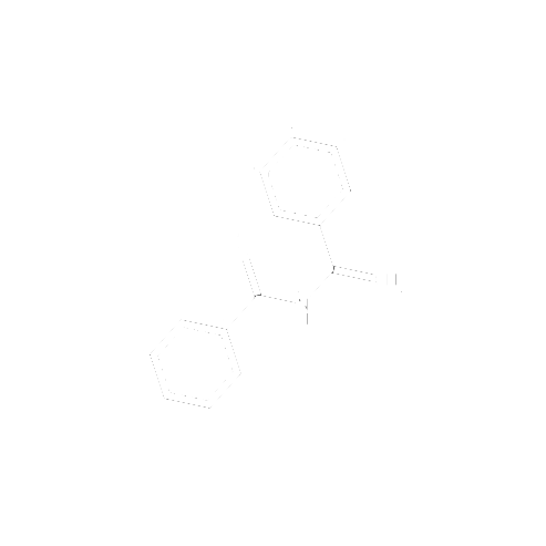 C=C(NC(=O)c1ccccc1)c1ccccc1